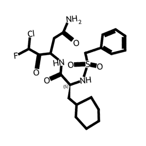 NC(=O)CC(NC(=O)[C@H](CC1CCCCC1)NS(=O)(=O)Cc1ccccc1)C(=O)C(F)Cl